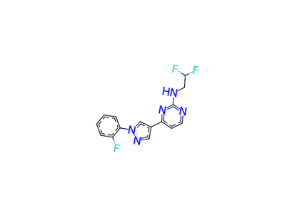 Fc1ccccc1-n1cc(-c2ccnc(NCC(F)F)n2)cn1